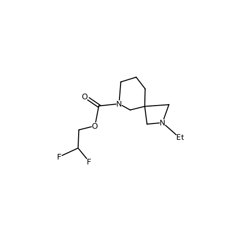 CCN1CC2(CCCN(C(=O)OCC(F)F)C2)C1